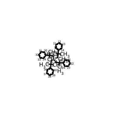 CC(C)([CH2][V]([CH2]C(C)(C)c1ccccc1)([CH2]C(C)(C)c1ccccc1)[CH2]C(C)(C)c1ccccc1)c1ccccc1